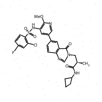 COc1ncc(-c2ccc3ncn(C[C@@H](C)C(=O)NC4CCC4)c(=O)c3c2)cc1NS(=O)(=O)c1ccc(F)cc1Cl